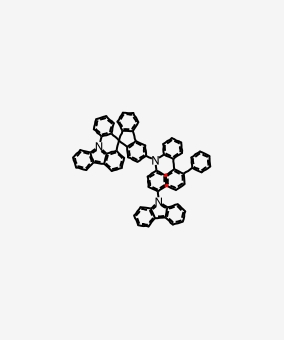 c1ccc(-c2ccccc2-c2ccccc2N(c2ccc(-n3c4ccccc4c4ccccc43)cc2)c2ccc3c(c2)-c2ccccc2C32c3ccccc3-n3c4ccccc4c4cccc2c43)cc1